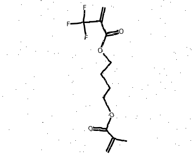 C=C(C)C(=O)OCCCCOC(=O)C(=C)C(F)(F)F